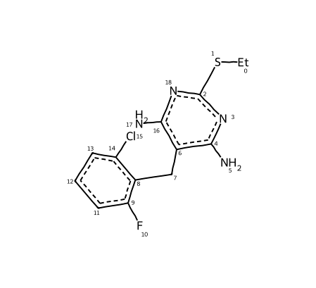 CCSc1nc(N)c(Cc2c(F)cccc2Cl)c(N)n1